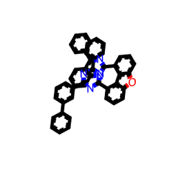 c1ccc(-c2cccc(-c3nc(-c4ccccc4)nc(-c4cccc5oc6cccc(-c7nc(-c8ccccc8)c8ccccc8n7)c6c45)n3)c2)cc1